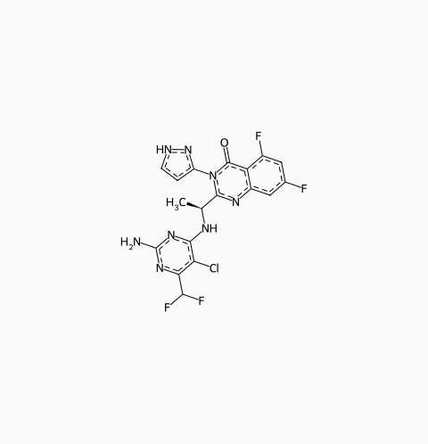 C[C@H](Nc1nc(N)nc(C(F)F)c1Cl)c1nc2cc(F)cc(F)c2c(=O)n1-c1cc[nH]n1